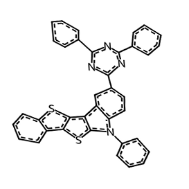 c1ccc(-c2nc(-c3ccccc3)nc(-c3ccc4c(c3)c3c5sc6ccccc6c5sc3n4-c3ccccc3)n2)cc1